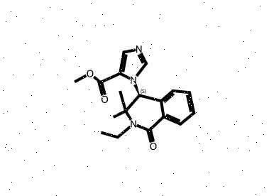 CCN1C(=O)c2ccccc2[C@H](n2cncc2C(=O)OC)C1(C)C